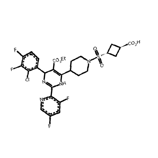 CCOC(=O)C1=C(C2CCN(S(=O)(=O)[C@H]3C[C@H](C(=O)O)C3)CC2)NC(c2ncc(F)cc2F)=NC1c1ccc(F)c(F)c1Cl